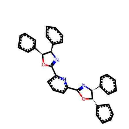 c1ccc([C@H]2N=C(c3cccc(C4=N[C@H](c5ccccc5)[C@H](c5ccccc5)O4)n3)O[C@H]2c2ccccc2)cc1